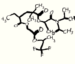 CCC(CC(C)(C)C(=O)OC(C)C(=O)N(C(C)=O)C(C)C)C(=O)OCC(=O)OC(C)C(F)(F)F